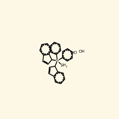 Cl.Cl.[SiH3][Zr]([c]1ccccc1)([c]1ccccc1)([CH]1C=Cc2ccccc21)[CH]1C=Cc2ccccc21